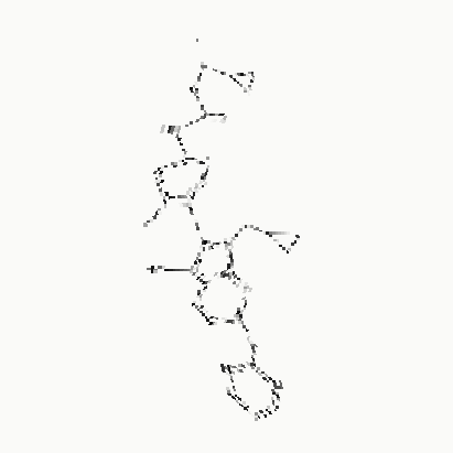 Cc1cc(NC(=O)O[C@H](C)C2CC2)ccc1-c1c(C#N)c2ccc(Oc3ncccn3)cc2n1CC1CC1